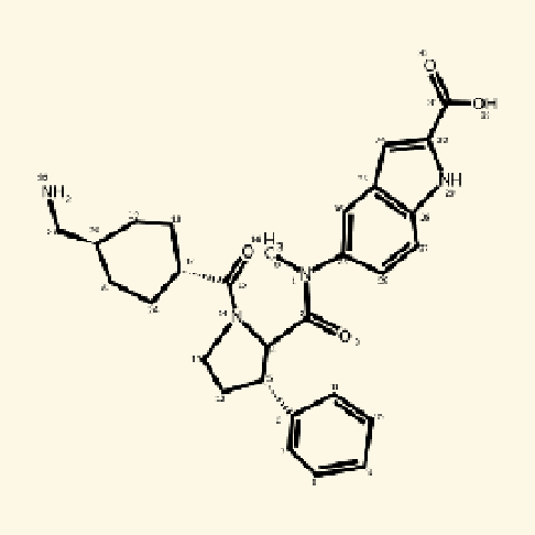 CN(C(=O)C1[C@H](c2ccccc2)CCN1C(=O)[C@H]1CC[C@H](CN)CC1)c1ccc2[nH]c(C(=O)O)cc2c1